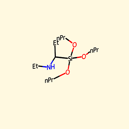 CCCO[Si](OCCC)(OCCC)C(CC)NCC